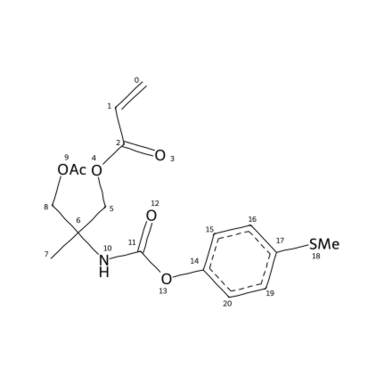 C=CC(=O)OCC(C)(COC(C)=O)NC(=O)Oc1ccc(SC)cc1